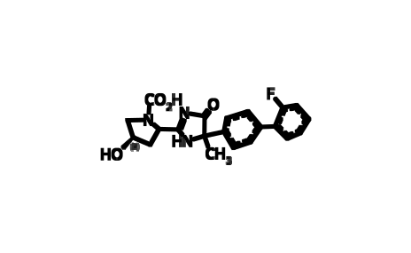 CC1(c2ccc(-c3ccccc3F)cc2)NC(C2C[C@@H](O)CN2C(=O)O)=NC1=O